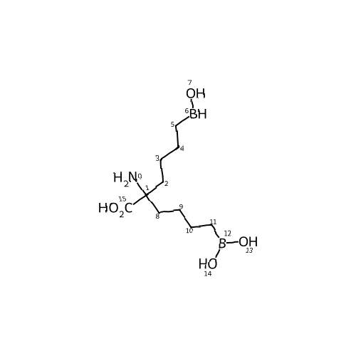 NC(CCCCBO)(CCCCB(O)O)C(=O)O